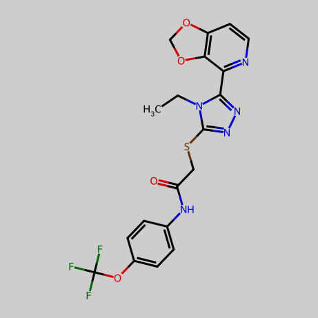 CCn1c(SCC(=O)Nc2ccc(OC(F)(F)F)cc2)nnc1-c1nccc2c1OCO2